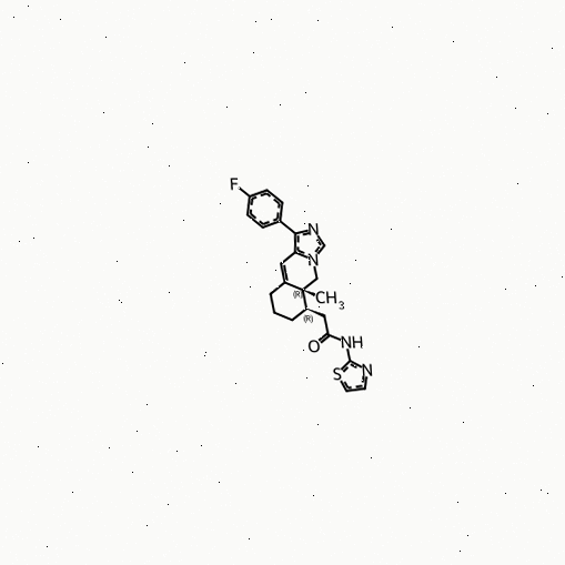 C[C@]12Cn3cnc(-c4ccc(F)cc4)c3C=C1CCC[C@@H]2CC(=O)Nc1nccs1